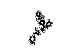 O=C(Nc1ncc(CN2CCS(=O)(=O)CC2)s1)/C(=N/N1CCCC1)c1ccc(S(=O)(=O)[C@H]2CCOC2)cc1